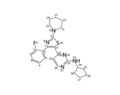 Fc1ccccc1-c1nc(N2CCCCC2)sc1-c1ccnc(NC2CCCC2)n1